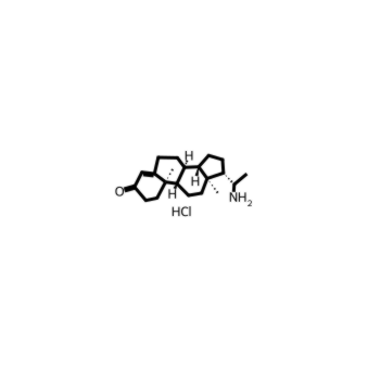 CC(N)[C@H]1CC[C@H]2[C@@H]3CCC4=CC(=O)CC[C@]4(C)[C@H]3CC[C@]12C.Cl